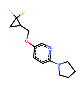 FC1(F)CC1COc1ccc(N2CCCC2)nc1